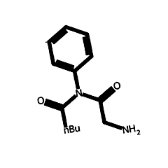 CCCCC(=O)N(C(=O)CN)c1c[c]ccc1